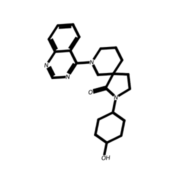 O=C1N(C2CCC(O)CC2)CCC12CCCN(c1ncnc3ccccc13)C2